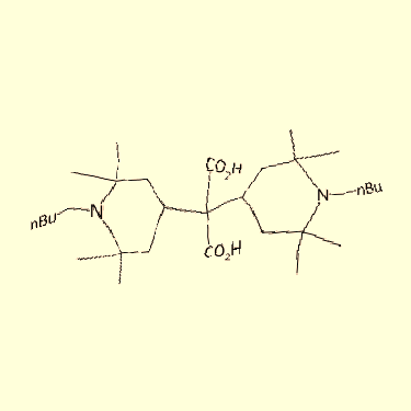 CCCCN1C(C)(C)CC(C(C(=O)O)(C(=O)O)C2CC(C)(C)N(CCCC)C(C)(C)C2)CC1(C)C